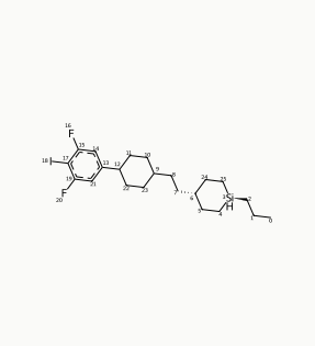 CCC[Si@H]1CC[C@H](CCC2CCC(c3cc(F)c(I)c(F)c3)CC2)CC1